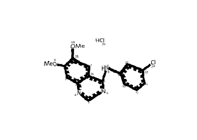 COc1cc2ncnc(Nc3cccc(Cl)c3)c2cc1OC.Cl